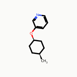 C[C@H]1CC[C@@H](Oc2cccnc2)CC1